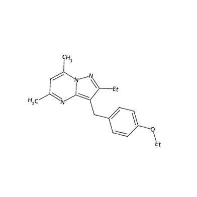 CCOc1ccc(Cc2c(CC)nn3c(C)cc(C)nc23)cc1